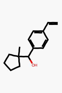 C=Cc1ccc(C(O)C2(C)CCCC2)cc1